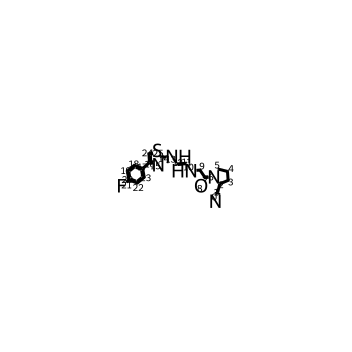 N#CC1CCCN1C(=O)CNCCNc1nc(-c2ccc(F)cc2)cs1